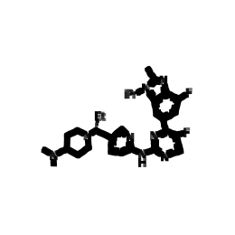 CC[C@H](c1ccc(Nc2ncc(F)c(-c3cc(F)c4nc(C)n(C(C)C)c4c3)n2)nc1)N1CCC(N(C)C)CC1